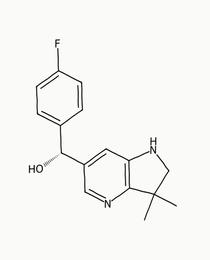 CC1(C)CNc2cc([C@H](O)c3ccc(F)cc3)cnc21